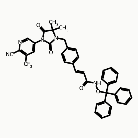 CC1(C)C(=O)N(c2cnc(C#N)c(C(F)(F)F)c2)C(=O)N1Cc1ccc(/C=C/C(=O)NOC(c2ccccc2)(c2ccccc2)c2ccccc2)cc1